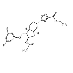 CCOC(=O)c1csc([C@H]2CC[C@@H]3[C@@H](COc4cc(F)cc(F)c4)[C@H](OC(C)=O)C[C@@H]3O2)n1